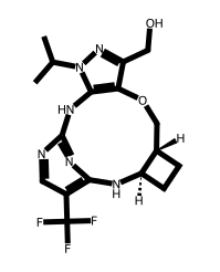 CC(C)n1nc(CO)c2c1Nc1ncc(C(F)(F)F)c(n1)N[C@@H]1CC[C@H]1CO2